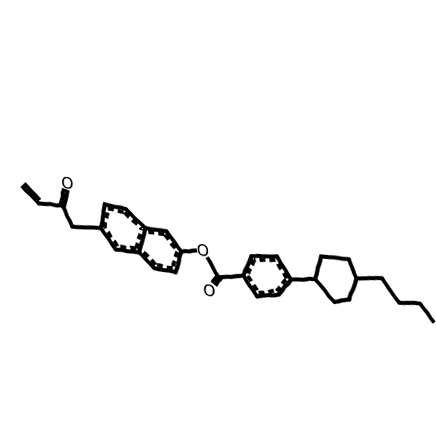 C=CC(=O)Cc1ccc2cc(OC(=O)c3ccc(C4CCC(CCCC)CC4)cc3)ccc2c1